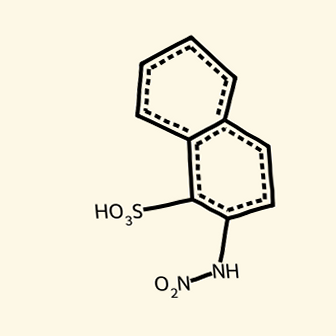 O=[N+]([O-])Nc1ccc2ccccc2c1S(=O)(=O)O